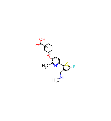 CNCc1cc(F)sc1-c1ccc(O[C@H]2CCC[C@H](C(=O)O)C2)c(C)n1